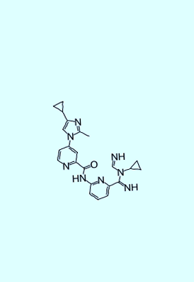 Cc1nc(C2CC2)cn1-c1ccnc(C(=O)Nc2cccc(C(=N)N(C=N)C3CC3)n2)c1